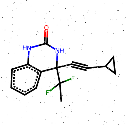 CC(F)(F)C1(C#CC2CC2)NC(=O)Nc2ccccc21